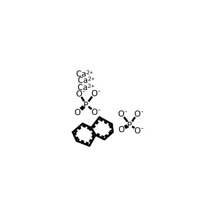 O=P([O-])([O-])[O-].O=P([O-])([O-])[O-].[Ca+2].[Ca+2].[Ca+2].c1ccc2ccccc2c1